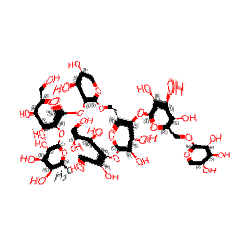 C[C@@H]1O[C@@H](O[C@H]2[C@H](O[C@H]3[C@@H](OC[C@H]4O[C@@H](O[C@@H]([C@H](O)[C@@H](O)CO)[C@H](O)CO)[C@H](O)[C@@H](O)[C@@H]4O[C@@H]4O[C@H](CO[C@H]5OC[C@@H](O)[C@H](O)[C@H]5O)[C@@H](O)[C@H](O)[C@H]4O)OC[C@@H](O)[C@@H]3O)O[C@H](CO)[C@H](O)[C@@H]2O)[C@@H](O)[C@H](O)[C@@H]1O